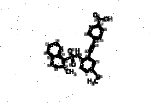 COc1ccc(NS(=O)(=O)c2c(C)ccc3cccnc23)c(C#Cc2ccc(C(=O)O)nc2)c1